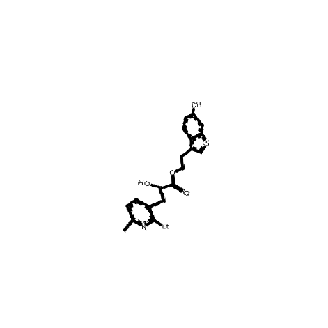 CCc1nc(C)ccc1CC(O)C(=O)OCCc1csc2cc(O)ccc12